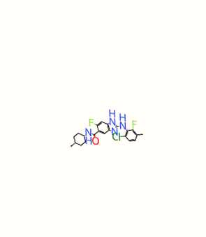 Cc1ccc(Cl)c(Nc2nc3cc(C(=O)N[C@H]4CC[C@H](C)CC4)c(F)cc3[nH]2)c1F